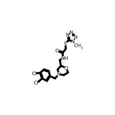 Cn1nnnc1SCC(=O)NCC1CN(Cc2ccc(Cl)c(Cl)c2)CCO1